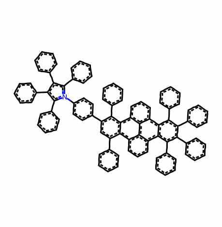 c1ccc(-c2c(-c3ccccc3)c(-c3ccccc3)c3c4cccc5c6c(-c7ccccc7)c(-c7ccc(-n8c(-c9ccccc9)c(-c9ccccc9)c(-c9ccccc9)c8-c8ccccc8)cc7)cc(-c7ccccc7)c6c6cccc(c3c2-c2ccccc2)c6c54)cc1